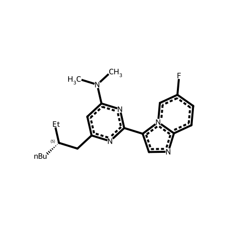 CCCC[C@H](CC)Cc1cc(N(C)C)nc(-c2cnc3ccc(F)cn23)n1